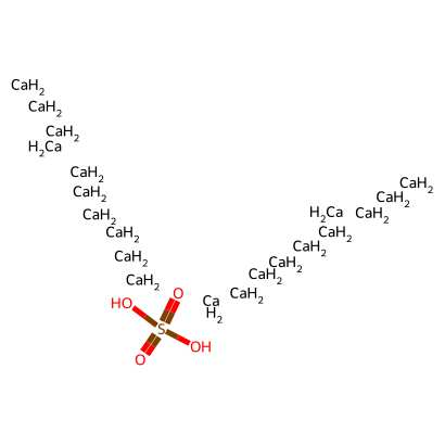 O=S(=O)(O)O.[CaH2].[CaH2].[CaH2].[CaH2].[CaH2].[CaH2].[CaH2].[CaH2].[CaH2].[CaH2].[CaH2].[CaH2].[CaH2].[CaH2].[CaH2].[CaH2].[CaH2].[CaH2].[CaH2].[CaH2]